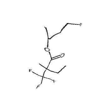 CCC(C)(C(=O)OC(C)CCF)C(F)(F)F